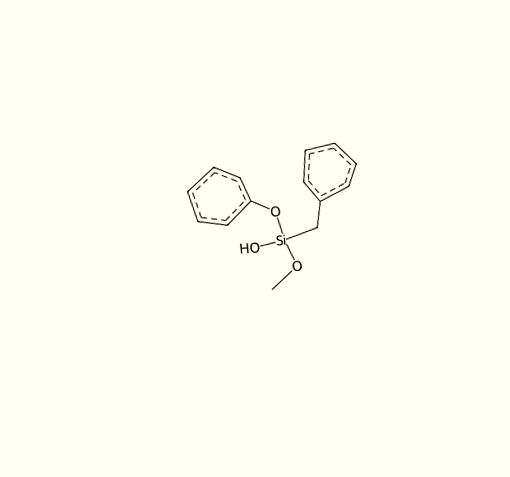 CO[Si](O)(Cc1ccccc1)Oc1ccccc1